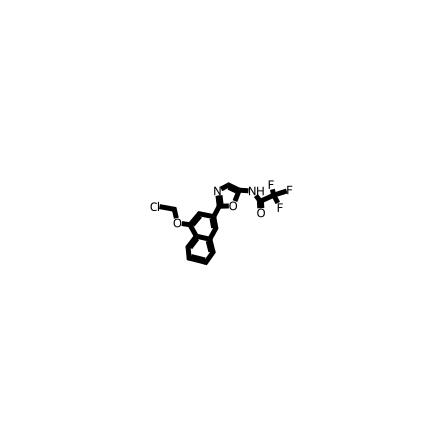 O=C(Nc1cnc(-c2cc(OCCl)c3ccccc3c2)o1)C(F)(F)F